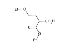 CCOCCC(C(=O)O)C(=S)OCC